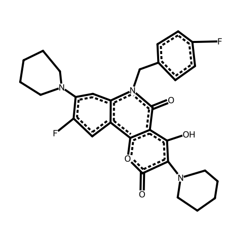 O=c1oc2c(c(O)c1N1CCCCC1)c(=O)n(Cc1ccc(F)cc1)c1cc(N3CCCCC3)c(F)cc21